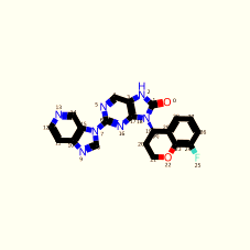 O=c1[nH]c2cnc(-n3cnc4ccncc43)nc2n1[C@@H]1CCOc2c(F)cccc21